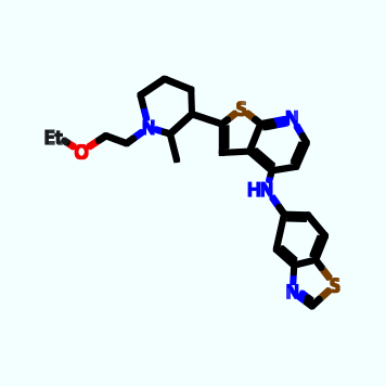 CCOCCN1CCCC(c2cc3c(Nc4ccc5scnc5c4)ccnc3s2)C1C